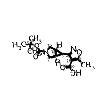 Cc1onc(C2[C@H]3CN(C(=O)OC(C)(C)C)C[C@@H]23)c1C(=O)O